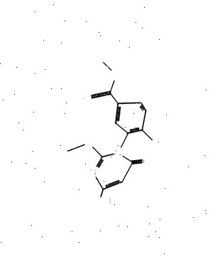 COC(=O)c1ccc(C)c(-n2c(SC)nc(O)cc2=O)c1